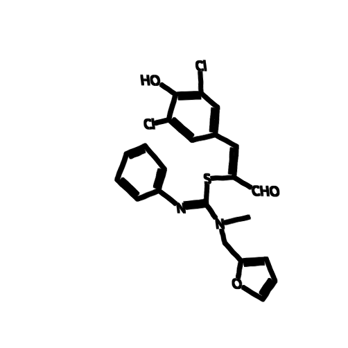 CN(Cc1ccco1)/C(=N/c1ccccc1)S/C(C=O)=C\c1cc(Cl)c(O)c(Cl)c1